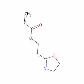 C=CC(=O)OCCC1=NCCO1